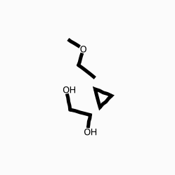 C1CC1.CCOC.OCCO